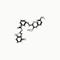 Nc1ccc(CC(C(=O)O)C(S)CCc2cccc(C(=O)OCCc3c(Cl)cccc3Cl)c2)cn1